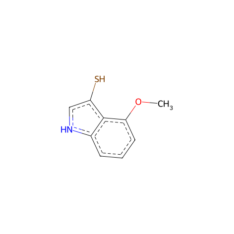 COc1cccc2[nH]cc(S)c12